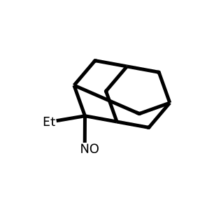 [CH2]CC1(N=O)C2CC3CC(C2)CC1C3